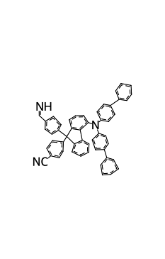 N#Cc1ccc(C2(c3ccc(C=N)cc3)c3ccccc3-c3c(N(c4ccc(-c5ccccc5)cc4)c4ccc(-c5ccccc5)cc4)cccc32)cc1